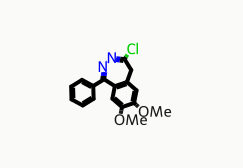 COc1cc2c(cc1OC)C(c1ccccc1)=NN=C(Cl)C2